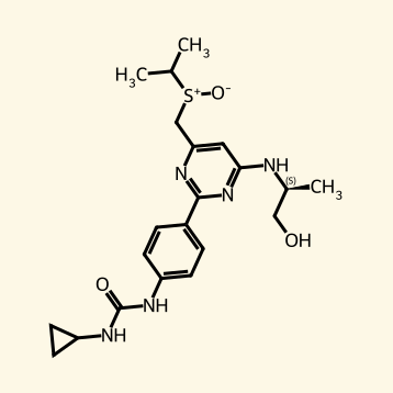 CC(C)[S+]([O-])Cc1cc(N[C@@H](C)CO)nc(-c2ccc(NC(=O)NC3CC3)cc2)n1